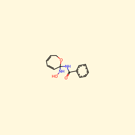 O=C(NC1(NO)C=CC=CCO1)c1ccccc1